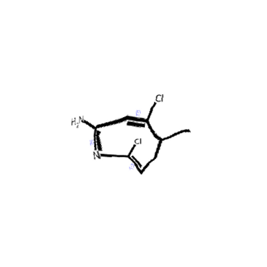 CC1C/C=C(Cl)/N=C(N)\C=C/1Cl